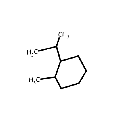 CC(C)C1CCCCC1C